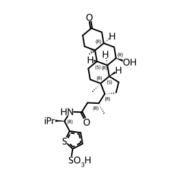 CC(C)[C@@H](NC(=O)C[C@@H](C)[C@H]1CC[C@H]2[C@@H]3[C@H](O)C[C@@H]4CC(=O)CC[C@]4(C)[C@H]3CC[C@]12C)c1ccc(S(=O)(=O)O)s1